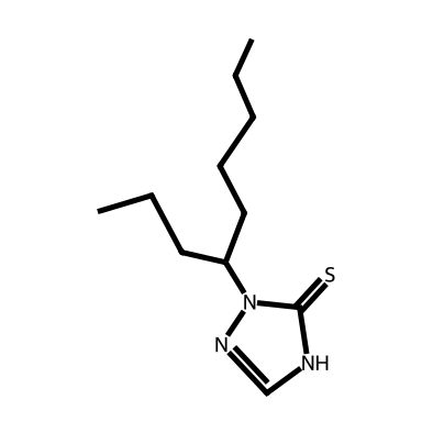 CCCCCC(CCC)n1nc[nH]c1=S